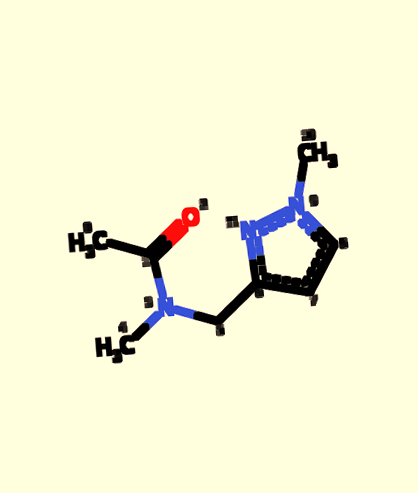 CC(=O)N(C)Cc1ccn(C)n1